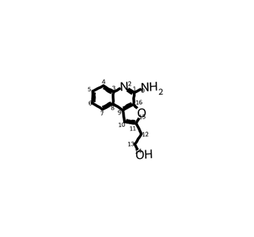 Nc1nc2ccccc2c2cc(CCO)oc12